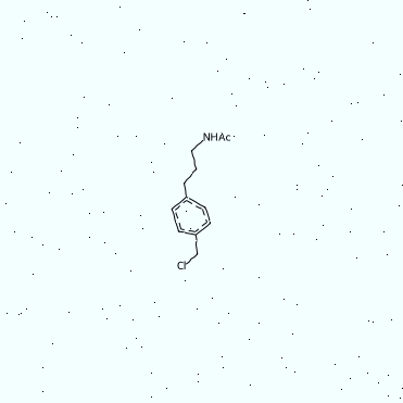 CC(=O)NCCCc1ccc(CCl)cc1